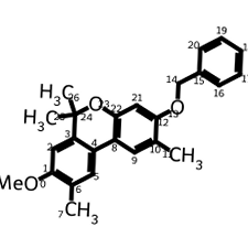 COc1cc2c(cc1C)-c1cc(C)c(OCc3ccccc3)cc1OC2(C)C